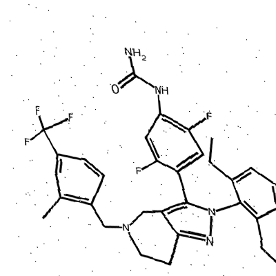 CCc1cccc(CC)c1-n1nc2c(c1-c1cc(F)c(NC(N)=O)cc1F)CN(Cc1ccc(C(F)(F)F)cc1C)CC2